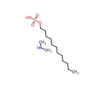 CCCCCCCCCCCCOS(=O)(=O)O.CNC